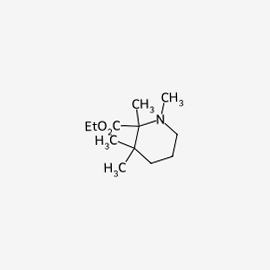 CCOC(=O)C1(C)N(C)CCCC1(C)C